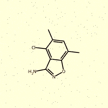 Cc1cc(C)c2onc(N)c2c1Cl